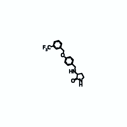 O=C1NCCC1NCc1ccc(OCc2cccc(C(F)(F)F)c2)cc1